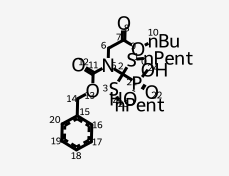 CCCCCSC(SCCCCC)(N(CC(=O)OCCCC)C(=O)OCc1ccccc1)P(=O)(O)O